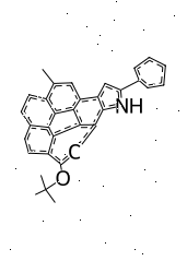 Cc1cc2c3cc(-c4ccccc4)[nH]c3c3cc(OC(C)(C)C)c4ccc5ccc1c1c5c4c3c21